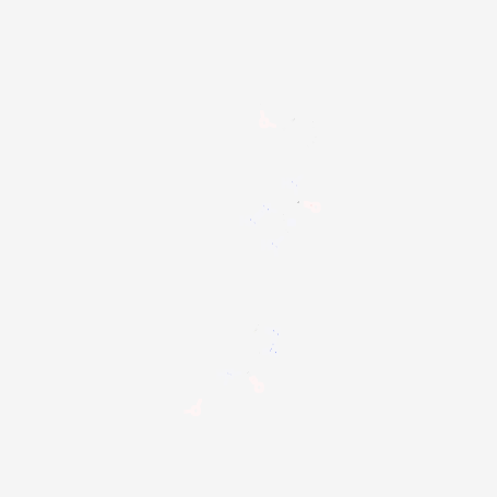 COCCNC(=O)c1nnc(CCC(F)CN/C=C(\N=N)C(=O)NCc2cccc(OC(F)(F)F)c2)s1